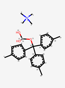 C[N+](C)(C)C.Cc1ccc(C(OB(O)O)(c2ccc(C)cc2)c2ccc(C)cc2)cc1